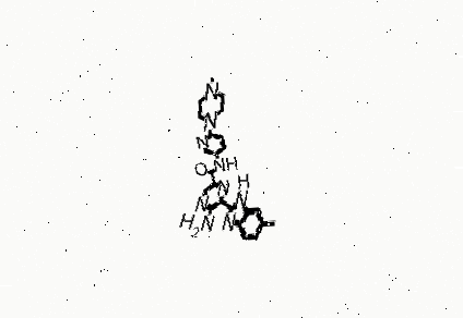 Cc1ccc2nc(-c3nc(C(=O)Nc4ccc(N5CCN(C)CC5)nc4)cnc3N)[nH]c2c1